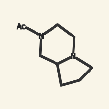 [CH2]C(=O)N1CCN2CCCC2C1